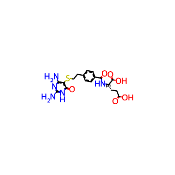 Nc1nc(N)c(SCCc2ccc(C(=O)N[C@@H](CCC(=O)O)C(=O)O)cc2)c(=O)[nH]1